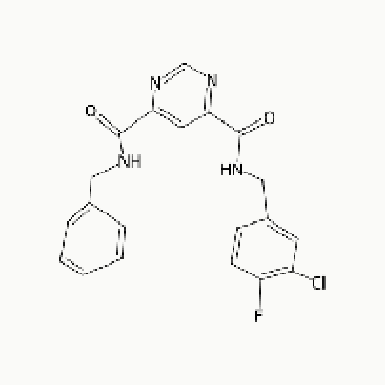 O=C(NCc1ccccc1)c1cc(C(=O)NCc2ccc(F)c(Cl)c2)ncn1